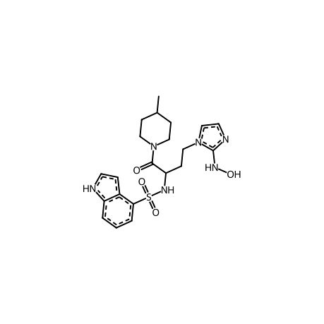 CC1CCN(C(=O)C(CCn2ccnc2NO)NS(=O)(=O)c2cccc3[nH]ccc23)CC1